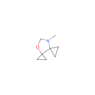 CN1COC2(CC2)C12CC2